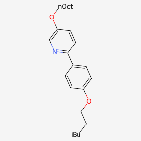 CCCCCCCCOc1ccc(-c2ccc(OCCC(C)CC)cc2)nc1